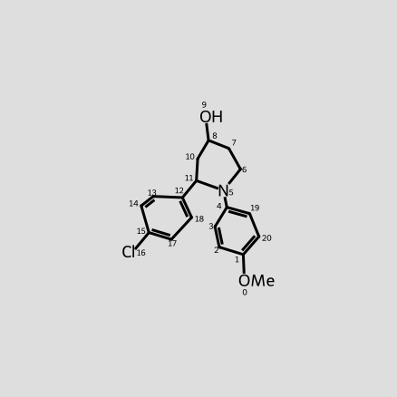 COc1ccc(N2CCC(O)CC2c2ccc(Cl)cc2)cc1